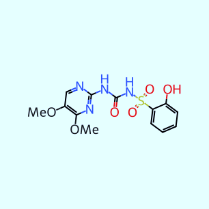 COc1cnc(NC(=O)NS(=O)(=O)c2ccccc2O)nc1OC